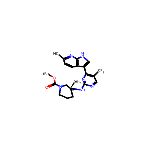 CC(C)(C)OC(=O)N1CCC[C@@]([SiH3])(Nc2ncc(C(F)(F)F)c(-c3c[nH]c4nc(C#N)ccc34)n2)C1